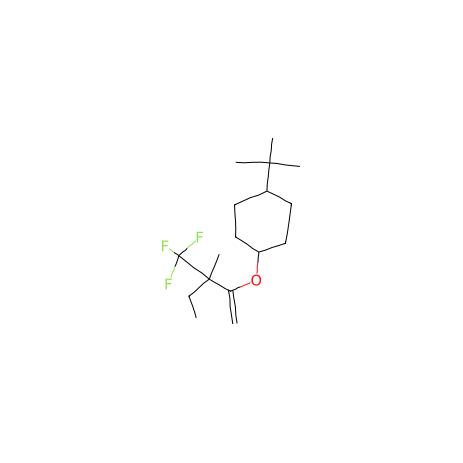 C=C(OC1CCC(C(C)(C)C)CC1)C(C)(CC)C(F)(F)F